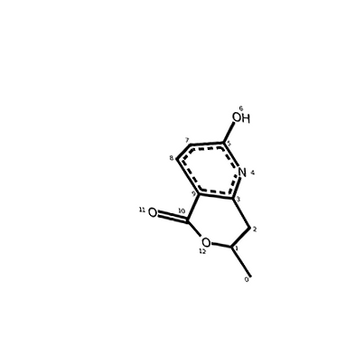 CC1Cc2nc(O)ccc2C(=O)O1